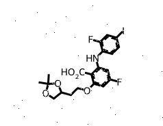 CC1(C)OCC(CCOc2cc(F)cc(Nc3ccc(I)cc3F)c2C(=O)O)O1